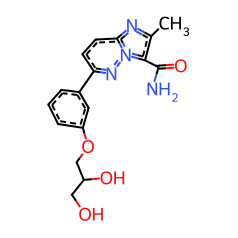 Cc1nc2ccc(-c3cccc(OCC(O)CO)c3)nn2c1C(N)=O